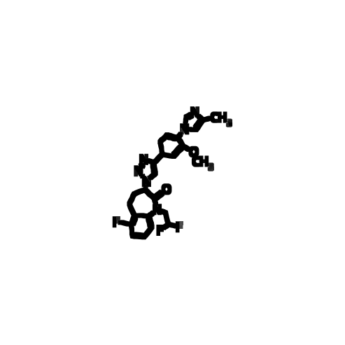 COC1=CC(c2cn([C@@H]3CCc4c(F)cccc4N(CC(F)F)C3=O)nn2)CC=C1n1cnc(C)c1